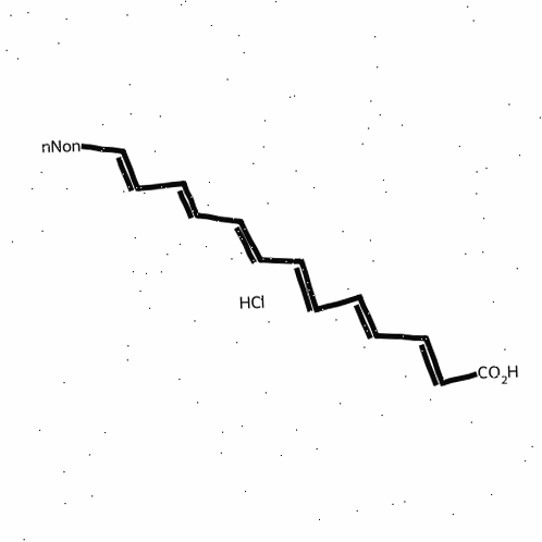 CCCCCCCCCC=CC=CC=CC=CC=CC=CC(=O)O.Cl